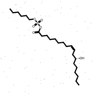 CCCCCCOS(=O)(=O)OC(=O)CCCCCCC/C=C\C[C@H](O)CCCCCC